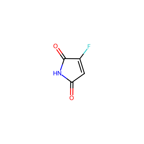 O=C1C=C(F)C(=O)N1